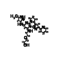 Cc1cc(Nc2cc(NCCOCCO)nc(N3CCCC3c3cc(-c4ccccn4)no3)n2)n[nH]1